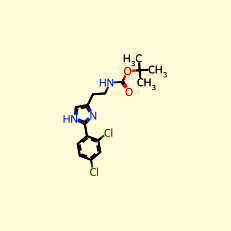 CC(C)(C)OC(=O)NCCc1c[nH]c(-c2ccc(Cl)cc2Cl)n1